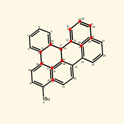 CC(C)(C)c1ccc(-c2ccccc2N(c2ccccc2)c2ccccc2-c2cccc3cccc(C4CCCCC4)c23)cc1